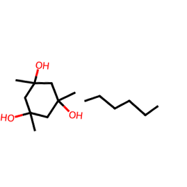 CC1(O)CC(C)(O)CC(C)(O)C1.CCCCCC